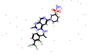 Cc1nc(NC(C)c2cccc(C(F)F)c2F)c2cc(N3CCCC(S(N)(=O)=O)C3)ncc2n1